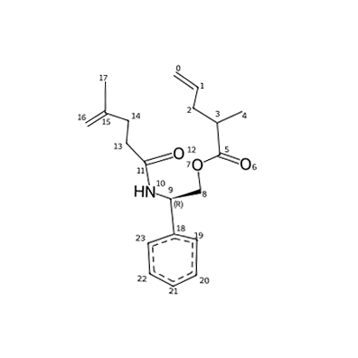 C=CCC(C)C(=O)OC[C@H](NC(=O)CCC(=C)C)c1ccccc1